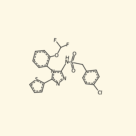 O=S(=O)(Cc1ccc(Cl)cc1)Nc1nnc(-c2cccs2)n1-c1ccccc1OC(F)F